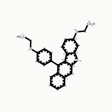 O=C(O)COc1ccc(-c2c3ccccc3cc3sc4cc(OCC(=O)O)ccc4c23)cc1